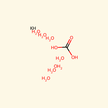 O.O.O.O.O.O.O.O=C(O)O.[KH]